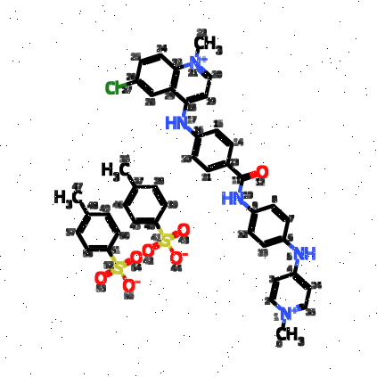 C[n+]1ccc(Nc2ccc(NC(=O)c3ccc(Nc4cc[n+](C)c5ccc(Cl)cc45)cc3)cc2)cc1.Cc1ccc(S(=O)(=O)[O-])cc1.Cc1ccc(S(=O)(=O)[O-])cc1